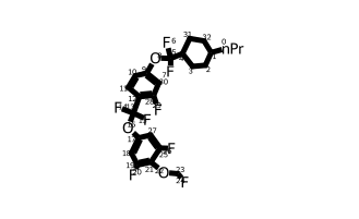 CCCC1CCC(C(F)(F)Oc2ccc(C(F)(F)Oc3cc(F)c(OCF)c(F)c3)c(F)c2)CC1